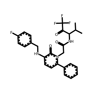 CC(C)C(NC(=O)Cn1c(-c2ccccc2)ccc(NCc2ccc(F)cc2)c1=O)C(=O)C(F)(F)F